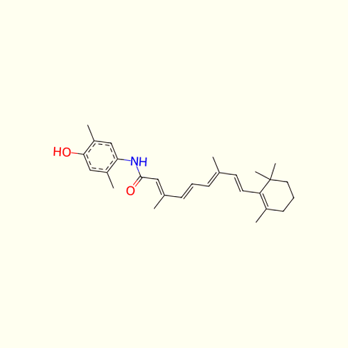 CC(C=CC1=C(C)CCCC1(C)C)=CC=CC(C)=CC(=O)Nc1cc(C)c(O)cc1C